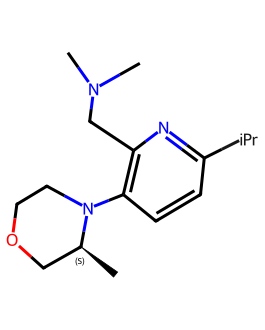 CC(C)c1ccc(N2CCOC[C@@H]2C)c(CN(C)C)n1